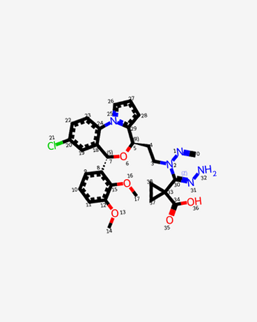 C=NN(CC[C@H]1O[C@H](c2cccc(OC)c2OC)c2cc(Cl)ccc2-n2cccc21)/C(=N\N)C1(C(=O)O)CC1